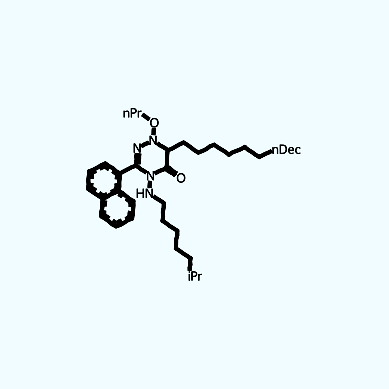 CCCCCCCCCCCCCCCCC1C(=O)N(NCCCCCC(C)C)C(c2cccc3ccccc23)=NN1OCCC